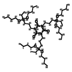 CCCCO[Si](CC)(CCCn1c(=O)n(CCC[Si](CC)(OCCCC)OCCCC)c(=O)n(CCC[Si](CC)(OCCCC)OCCCC)c1=O)OCCCC